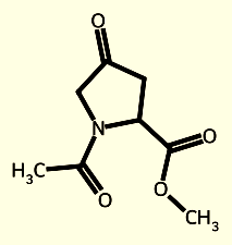 COC(=O)C1CC(=O)CN1C(C)=O